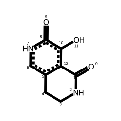 O=C1NCCc2c[nH]c(=O)c(O)c21